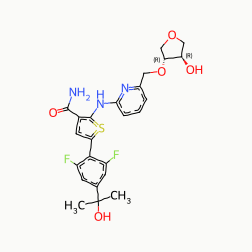 CC(C)(O)c1cc(F)c(-c2cc(C(N)=O)c(Nc3cccc(CO[C@@H]4COC[C@H]4O)n3)s2)c(F)c1